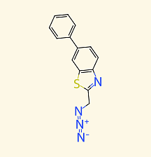 [N-]=[N+]=NCc1nc2ccc(-c3ccccc3)cc2s1